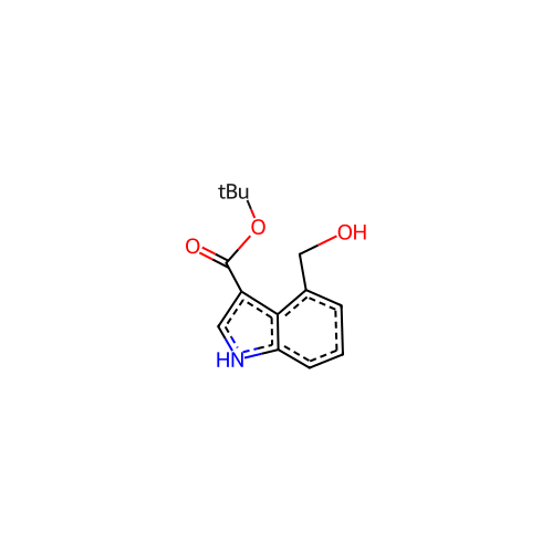 CC(C)(C)OC(=O)c1c[nH]c2cccc(CO)c12